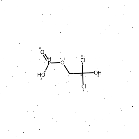 O=[PH](O)OCC(O)(Cl)Cl